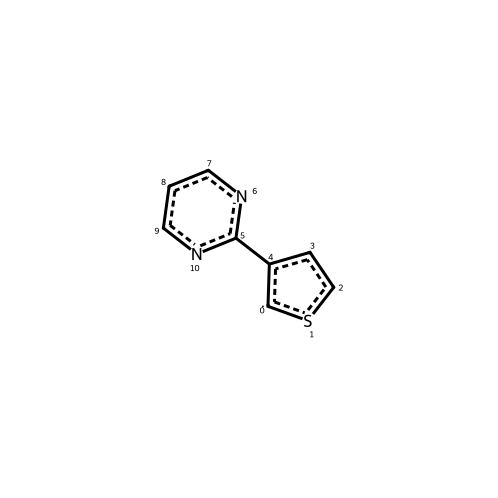 [c]1sccc1-c1ncccn1